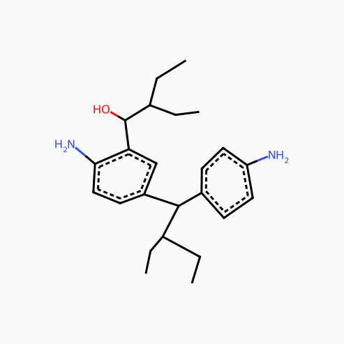 CCC(CC)C(O)c1cc(C(c2ccc(N)cc2)C(CC)CC)ccc1N